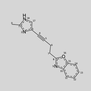 Cc1nc(C#CCCc2nc3ccccc3o2)c[nH]1